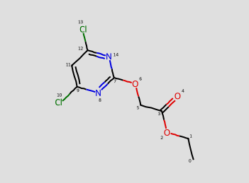 CCOC(=O)COc1nc(Cl)cc(Cl)n1